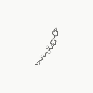 COCCOCCOC(=O)CN1CCN(C2CCN(C)CC2)CC1